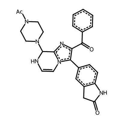 CC(=O)N1CCN(C2NC=Cn3c2nc(C(=O)c2ccccc2)c3-c2ccc3c(c2)CC(=O)N3)CC1